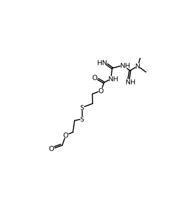 CN(C)C(=N)NC(=N)NC(=O)OCCSSCCOC=O